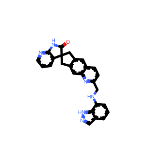 O=C1Nc2ncccc2C12Cc1cc3ccc(CNc4cccc5cn[nH]c45)nc3cc1C2